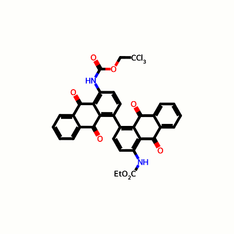 CCOC(=O)Nc1ccc(-c2ccc(NC(=O)OCC(Cl)(Cl)Cl)c3c2C(=O)c2ccccc2C3=O)c2c1C(=O)c1ccccc1C2=O